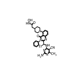 CCC(Nc1nc(N)nc(C)c1C#N)c1nc2cccc(N3CCC(CC(=O)NO)CC3)c2c(=O)n1-c1ccccc1